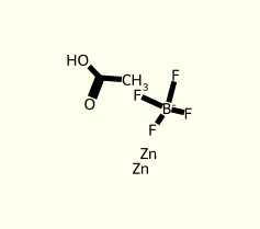 CC(=O)O.F[B-](F)(F)F.[Zn].[Zn]